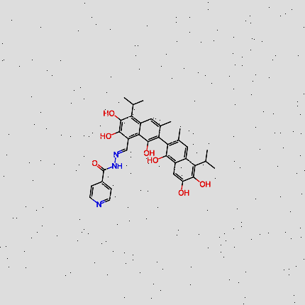 Cc1cc2c(C(C)C)c(O)c(O)cc2c(O)c1-c1c(C)cc2c(C(C)C)c(O)c(O)c(/C=N/NC(=O)c3ccncc3)c2c1O